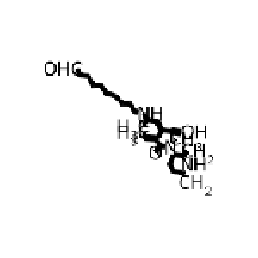 C=C1CCC(N(C)C(=O)C(=C/C)/C(C#CO)=C\C(C)NCCCCCCCCCC=O)C(=C)N1